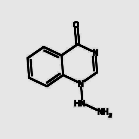 NNn1cnc(=O)c2ccccc21